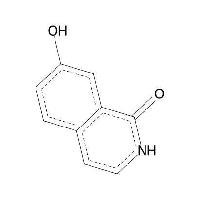 O=c1[nH]ccc2ccc(O)cc12